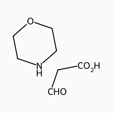 C1COCCN1.O=CCC(=O)O